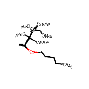 COCCCCOC(C)C(OC)(OC)[Si](OC)(OC)OC